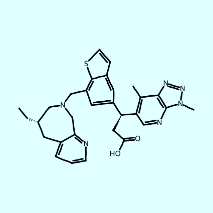 CC[C@H]1Cc2cccnc2CN(Cc2cc([C@H](CC(=O)O)c3cnc4c(nnn4C)c3C)cc3ccsc23)C1